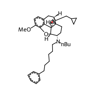 CCCCN(CCCCCCc1ccccc1)[C@H]1CC[C@@]2(O)[C@H]3Cc4ccc(OC)c5c4[C@@]2(CCN3CC2CC2)[C@H]1O5